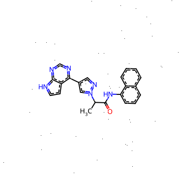 CC(C(=O)Nc1cccc2ccccc12)n1cc(-c2ncnc3[nH]ccc23)cn1